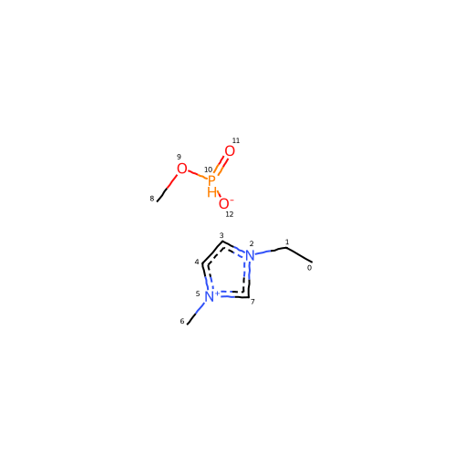 CCn1cc[n+](C)c1.CO[PH](=O)[O-]